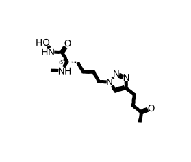 CN[C@@H](CCCCn1cc(CCC(C)=O)nn1)C(=O)NO